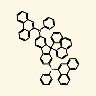 c1ccc(N(c2ccc3c(c2)C(c2ccccc2)(c2cccc4ccccc24)c2cc(N(c4ccccc4)c4cc5ccccc5c5ccccc45)ccc2-3)c2cc3ccccc3c3ccccc23)cc1